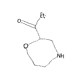 C[CH]C(=O)C1CNCCO1